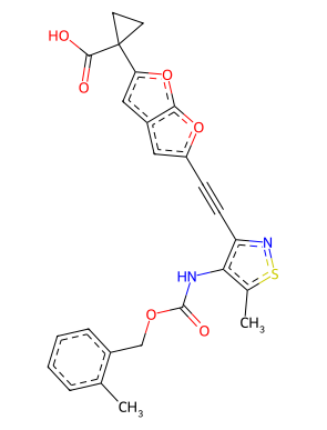 Cc1ccccc1COC(=O)Nc1c(C#Cc2cc3cc(C4(C(=O)O)CC4)oc3o2)nsc1C